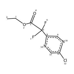 CCOC(=O)C(F)(F)c1cnc(Cl)cn1